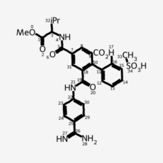 COC(=O)C(NC(=O)c1ccc(-c2ccccc2C(=O)O)c(C(=O)Nc2ccc(C(=N)N)cc2)c1)C(C)C.CS(=O)(=O)O